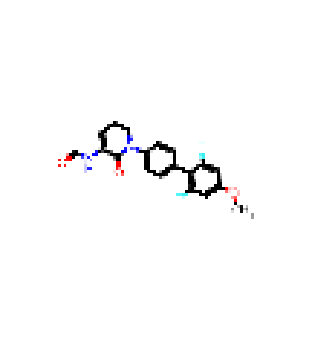 COc1cc(F)c(-c2ccc(N3CCC=C(NC=O)C3=O)cc2)c(F)c1